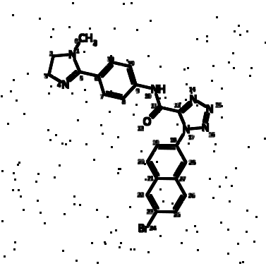 CN1CCN=C1c1ccc(NC(=O)c2nnnn2-c2ccc3cc(Br)ccc3c2)cc1